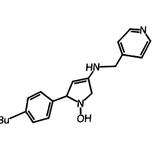 CC(C)(C)c1ccc(C2C=C(NCc3ccncc3)CN2O)cc1